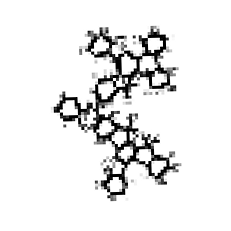 Cc1ccccc1N(c1ccc2c(c1)C(C)(C)c1cc(-c3ccccc3-c3ccccc3)c3oc4ccccc4c3c1-2)c1ccc2c(c1)C(C)(C)c1c3c(c4c(oc5ccccc54)c1-2)-c1ccccc1C3(C)C